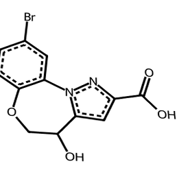 O=C(O)c1cc2n(n1)-c1cc(Br)ccc1OCC2O